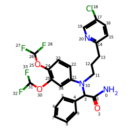 NC(=O)C(c1ccccc1)N(CCCc1ccc(Cl)cn1)c1ccc(OC(F)F)c(OC(F)F)c1